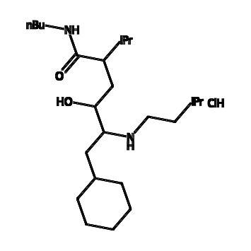 CCCCNC(=O)C(CC(O)C(CC1CCCCC1)NCCC(C)C)C(C)C.Cl